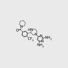 Nc1cc(N2CCNC(c3cc(C(=O)N4CCCCC4)ccc3C(F)(F)F)C2)nc(N)n1